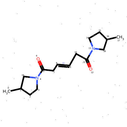 CC1CCN(C(=O)C/C=C/CC(=O)N2CCC(C)C2)C1